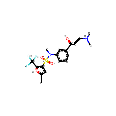 Cc1cc(S(=O)(=O)N(C)c2cccc(C(=O)C=CN(C)C)c2)c(C(F)(F)F)o1